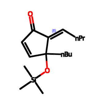 CCC/C=C1/C(=O)C=CC1(CCCC)O[Si](C)(C)C